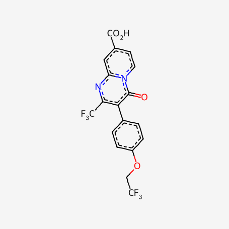 O=C(O)c1ccn2c(=O)c(-c3ccc(OCC(F)(F)F)cc3)c(C(F)(F)F)nc2c1